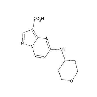 O=C(O)c1cnn2ccc(NC3CCOCC3)nc12